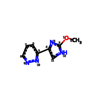 COc1nc(-c2cccnn2)c[nH]1